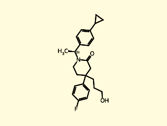 C[C@@H](c1ccc(C2CC2)cc1)N1CCC(CCCO)(c2ccc(F)cc2)CC1=O